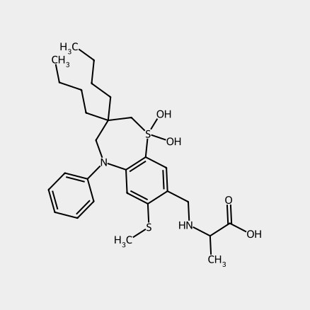 CCCCC1(CCCC)CN(c2ccccc2)c2cc(SC)c(CNC(C)C(=O)O)cc2S(O)(O)C1